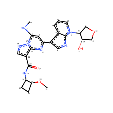 CNc1cc(-c2cnc3n(C4COC[C@@H]4O)cccc2-3)nc2c(C(=O)NC3CC[C@@H]3OC)cnn12